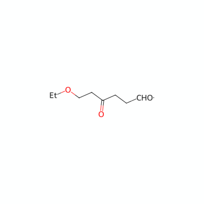 CCOCCC(=O)CC[C]=O